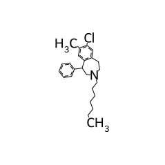 CCCCCCCN1CCc2cc(Cl)c(C)cc2C(c2ccccc2)C1